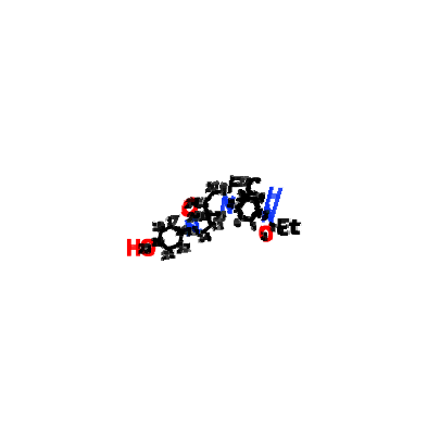 CCC(=O)Nc1ccc(N2CCCC3(CCN(C4CCC(O)CC4)C3=O)C2)c(C(F)(F)F)c1